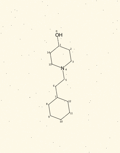 OC1CCN(CCC2CCCCC2)CC1